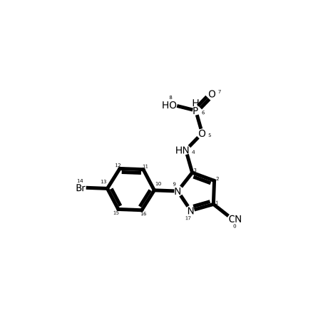 N#Cc1cc(NO[PH](=O)O)n(-c2ccc(Br)cc2)n1